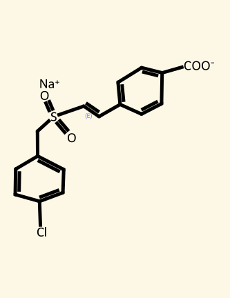 O=C([O-])c1ccc(/C=C/S(=O)(=O)Cc2ccc(Cl)cc2)cc1.[Na+]